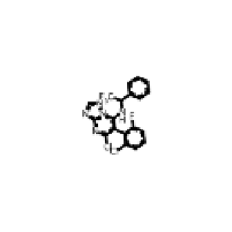 Fc1cccc(Cl)c1-c1c(Cl)nc2ncnn2c1NC(c1ccccc1)C(F)(F)F